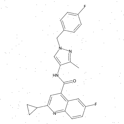 Cc1nn(Cc2ccc(F)cc2)cc1NC(=O)c1cc(C2CC2)nc2ccc(F)cc12